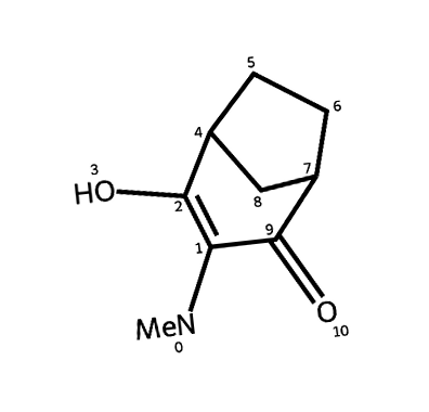 CNC1=C(O)C2CCC(C2)C1=O